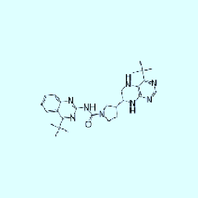 CC(C)(C)c1ncnc2c1NCC(C1CCN(C(=O)Nc3nc(C(C)(C)C)c4ccccc4n3)C1)N2